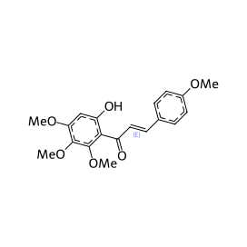 COc1ccc(/C=C/C(=O)c2c(O)cc(OC)c(OC)c2OC)cc1